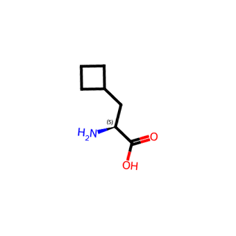 N[C@@H](CC1CCC1)C(=O)O